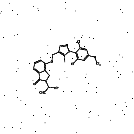 CCCC(C=O)N1Cc2c(OCc3cnn(-c4c(Cl)cc(OC(F)(F)F)cc4Cl)c3C)cccc2C1=O